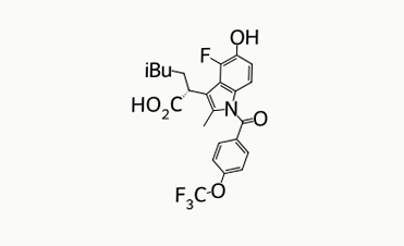 CCC(C)C[C@@H](C(=O)O)c1c(C)n(C(=O)c2ccc(OC(F)(F)F)cc2)c2ccc(O)c(F)c12